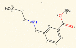 CC(C)(C)OC(=O)c1cccc(CNCCC(=O)O)c1